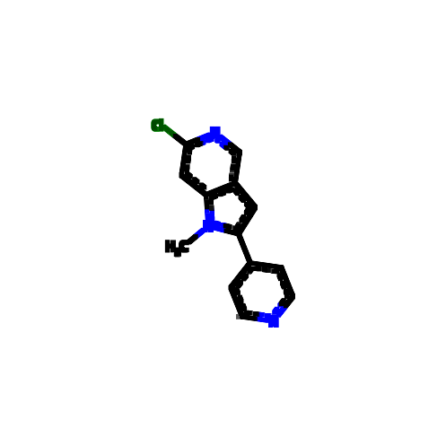 Cn1c(-c2c[c]ncc2)cc2cnc(Cl)cc21